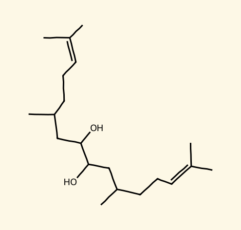 CC(C)=CCCC(C)CC(O)C(O)CC(C)CCC=C(C)C